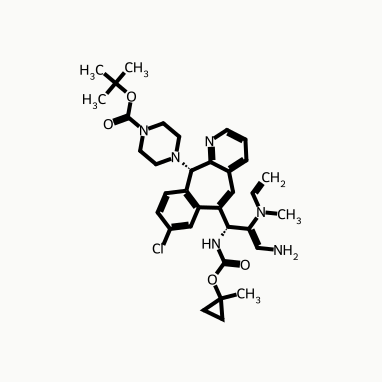 C=CN(C)/C(=C\N)[C@H](NC(=O)OC1(C)CC1)C1=Cc2cccnc2[C@@H](N2CCN(C(=O)OC(C)(C)C)CC2)c2ccc(Cl)cc21